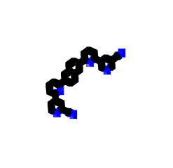 N#Cc1cncc(-c2cccc(-c3ccc4cc(-c5cccc(-c6ccnc(C#N)c6)n5)ccc4c3)n2)c1